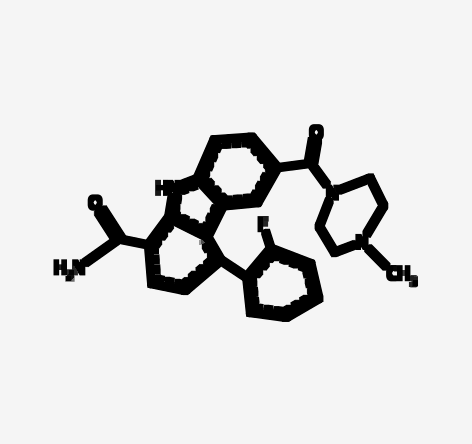 CN1CCN(C(=O)c2ccc3[nH]c4c(C(N)=O)ccc(-c5ccccc5F)c4c3c2)CC1